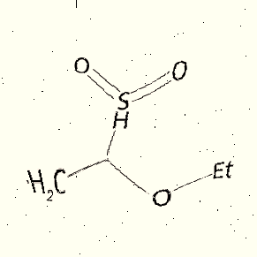 [CH2]C(OCC)[SH](=O)=O